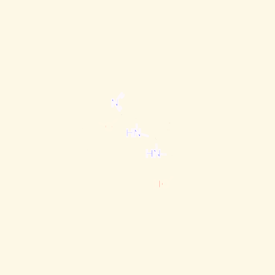 Cc1ccc(O)c(NC(=S)Nc2cccnc2Oc2ccccc2C(C)(C)C)c1